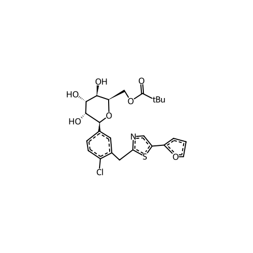 CC(C)(C)C(=O)OC[C@H]1O[C@@H](c2ccc(Cl)c(Cc3ncc(-c4ccco4)s3)c2)[C@H](O)[C@H](O)[C@H]1O